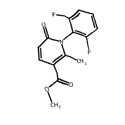 COC(=O)c1ccc(=O)n(-c2c(F)cccc2F)c1C